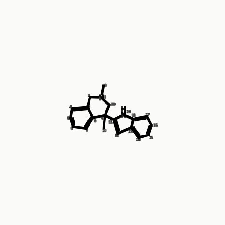 CN1Cc2ccccc2C(C)(c2cc3ccccc3[nH]2)C1